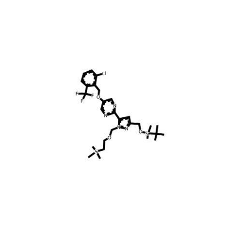 CC(C)(C)[Si](C)(C)OCc1cc(-c2ncc(OCc3c(Cl)cccc3C(F)(F)F)cn2)n(COCC[Si](C)(C)C)n1